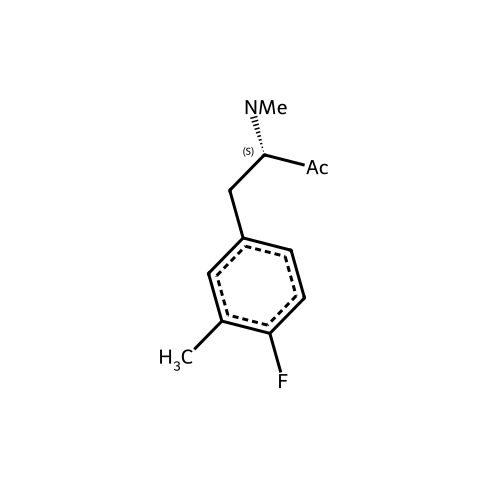 CN[C@@H](Cc1ccc(F)c(C)c1)C(C)=O